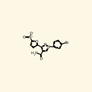 NC(=O)c1cn(-c2ccc(Br)cc2)nc1-c1ccc([N+](=O)[O-])o1